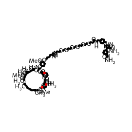 CO[C@H]1C[C@@H]2CC[C@@H](C)[C@@](O)(O2)C(=O)C(=O)N2CCCC[C@H]2C(=O)O[C@H]([C@H](N)C[C@@H]2CC[C@@H](OCCCCc3cn(CCOCCOCCOCCOCCOCCOCCC(=O)NCc4ccc(Cn5nc(-c6ccc7oc(N)nc7c6)c6c(N)ncnc65)cc4)nn3)[C@H](OC)C2)CC(=O)[C@H](C)/C=C(\C)[C@@H](O)[C@@H](OC)C(=O)[C@H](C)C[C@H](C)/C=C/C=C/C=C/1C